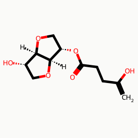 C=C(O)CCC(=O)O[C@H]1CO[C@H]2[C@@H]1OC[C@@H]2O